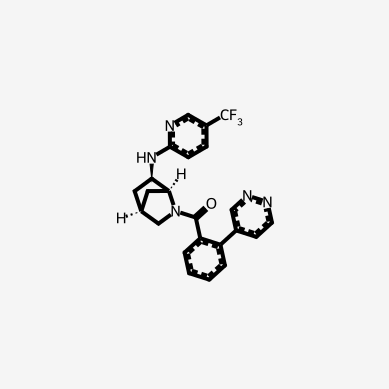 O=C(c1ccccc1-c1ccnnc1)N1C[C@H]2C[C@@H](Nc3ccc(C(F)(F)F)cn3)[C@@H]1C2